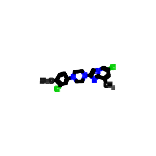 COc1ccc(N2CCN(c3cn4cc(Cl)cc(C)c4n3)CC2)cc1Cl